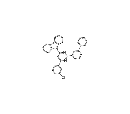 Clc1cccc(-c2nc(-c3cccc(-c4ccccc4)c3)nc(-n3c4ccccc4c4ccccc43)n2)c1